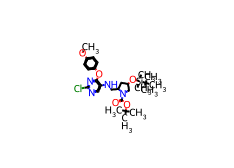 COc1ccc(Oc2nc(Cl)ncc2NCC2CC(O[Si](C)(C)C(C)(C)C)CN2C(=O)OC(C)(C)C)cc1